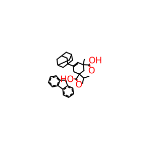 CC(C)C1(C(=O)O)CC(C23CC4CC(CC(C4)C2)C3)=CC(C)(C(=O)O)C1.c1ccc2c(c1)Cc1ccccc1-2